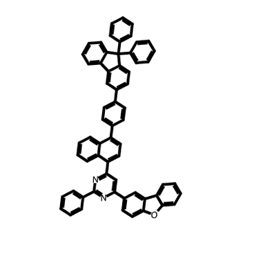 c1ccc(-c2nc(-c3ccc4oc5ccccc5c4c3)cc(-c3ccc(-c4ccc(-c5ccc6c(c5)-c5ccccc5C6(c5ccccc5)c5ccccc5)cc4)c4ccccc34)n2)cc1